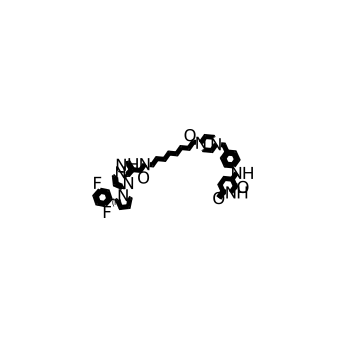 O=C1CCC(Nc2ccc(CN3CCN(C(=O)CCCCCCCNC(=O)c4cnn5ccc(N6CCC[C@@H]6c6cc(F)ccc6F)nc45)CC3)cc2)C(=O)N1